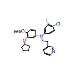 COc1ccc(N(CCc2cccnc2)c2ccc(Cl)c(F)c2)cc1OC1CCCC1